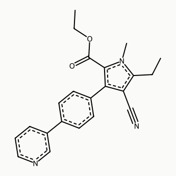 CCOC(=O)c1c(-c2ccc(-c3cccnc3)cc2)c(C#N)c(CC)n1C